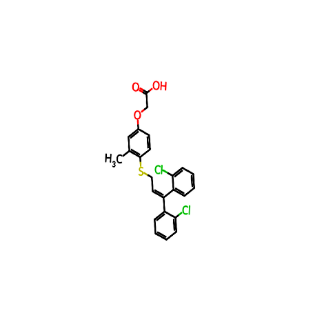 Cc1cc(OCC(=O)O)ccc1SCC=C(c1ccccc1Cl)c1ccccc1Cl